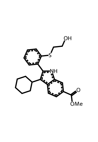 COC(=O)c1ccc2c(C3CCCCC3)c(-c3ccccc3SCCO)[nH]c2c1